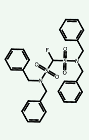 O=S(=O)(C(F)S(=O)(=O)N(Cc1ccccc1)Cc1ccccc1)N(Cc1ccccc1)Cc1ccccc1